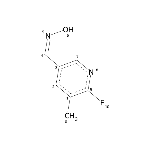 Cc1cc(/C=N\O)cnc1F